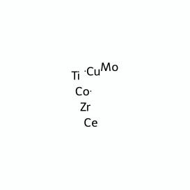 [Ce].[Co].[Cu].[Mo].[Ti].[Zr]